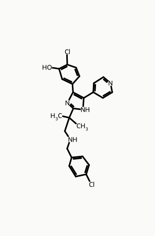 CC(C)(CNCc1ccc(Cl)cc1)c1nc(-c2ccc(Cl)c(O)c2)c(-c2ccncc2)[nH]1